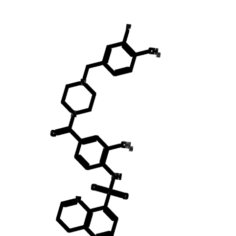 Cc1ccc(CN2CCN(C(=O)c3ccc(NS(=O)(=O)c4cccc5c4N=CCC5)c(C)c3)CC2)cc1F